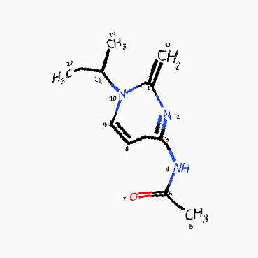 C=C1N=C(NC(C)=O)C=CN1C(C)C